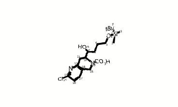 CC(C)(C)[Si](C)(C)OCCCC(O)C1Cc2nc(Cl)ccc2CN1C(=O)O